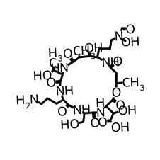 CC1CC(=O)NC(CCCN(O)C=O)C(O)C(C)C(=O)NC(C(C)O)C(=O)NC(CCCN)C(=O)NC(CO)C(=O)NC(C(O)C(=O)O)C(=O)O1